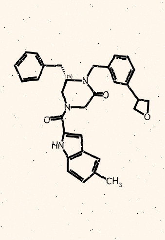 Cc1ccc2[nH]c(C(=O)N3CC(=O)N(Cc4cccc(C5COC5)c4)[C@@H](Cc4ccccc4)C3)cc2c1